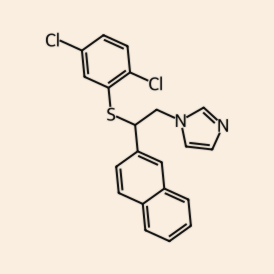 Clc1ccc(Cl)c(SC(Cn2ccnc2)c2ccc3ccccc3c2)c1